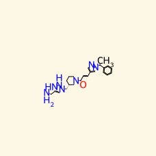 CC(c1ccccc1)n1cc(/C=C/C(=O)N2CCC[C@@H](CN3C=C(CN)NN3)C2)cn1